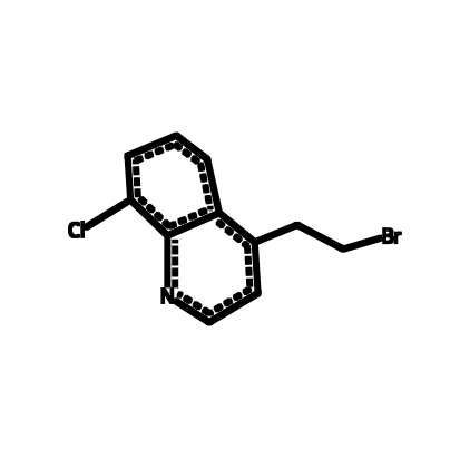 Clc1cccc2c(CCBr)ccnc12